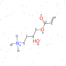 C=CC(=O)OCCCC[N+](C)(C)C.[OH-]